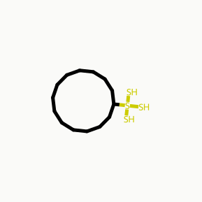 SS(S)(S)C1CCCCCCCCCCCCC1